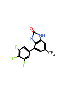 O=C1[N]c2c(cc(C(F)(F)F)cc2-c2cc(F)c(F)c(F)c2)N1